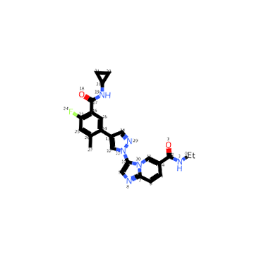 CCNC(=O)c1ccc2ncc(-n3cc(-c4cc(C(=O)NC5CC5)c(F)cc4C)cn3)n2c1